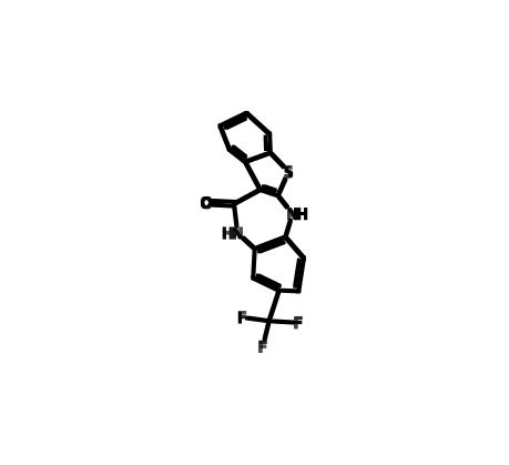 O=C1Nc2cc(C(F)(F)F)ccc2Nc2sc3ccccc3c21